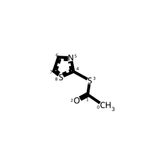 CC(=O)Sc1nccs1